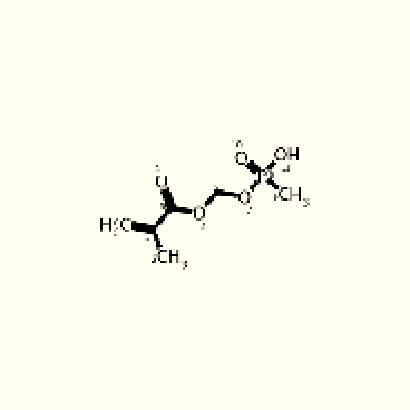 C=C(C)C(=O)OCOP(C)(=O)O